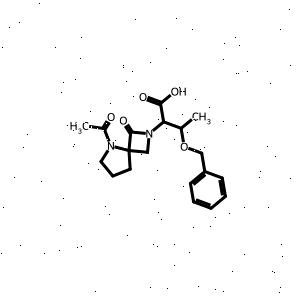 CC(=O)N1CCCC12CN(C(C(=O)O)C(C)OCc1ccccc1)C2=O